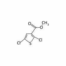 COC(=O)c1cc(Cl)sc1Cl